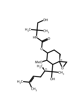 COC1C(OC(=O)NC(C)(C)CO)CC[C@]2(CO2)C1C(C)(O)[C@H](C)CC=C(C)C